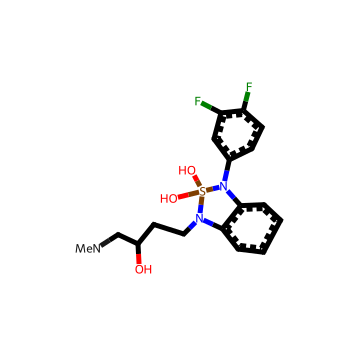 CNCC(O)CCN1c2ccccc2N(c2ccc(F)c(F)c2)S1(O)O